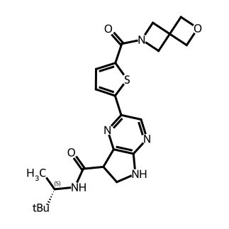 C[C@H](NC(=O)C1CNc2ncc(-c3ccc(C(=O)N4CC5(COC5)C4)s3)nc21)C(C)(C)C